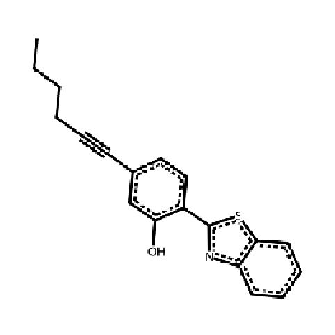 CCCCC#Cc1ccc(-c2nc3ccccc3s2)c(O)c1